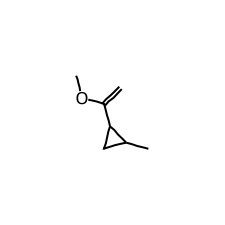 C=C(OC)C1CC1C